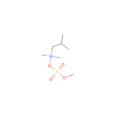 COS(=O)(=O)O[N+](C)(C)CC(C)C